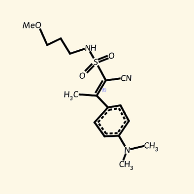 COCCCNS(=O)(=O)/C(C#N)=C(\C)c1ccc(N(C)C)cc1